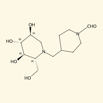 O=CN1CCC(CN2C[C@H](O)[C@@H](O)[C@H](O)[C@H]2CO)CC1